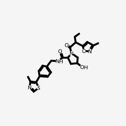 CCC(C(=O)N1CC(O)CC1C(=O)NCc1ccc(-c2scnc2C)cc1)c1cc(C)no1